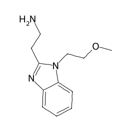 COCCn1c(CCN)nc2ccccc21